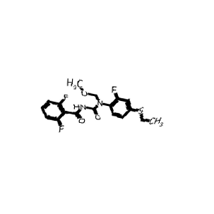 CCSc1ccc(N(COC)C(=O)NC(=O)c2c(F)cccc2F)c(F)c1